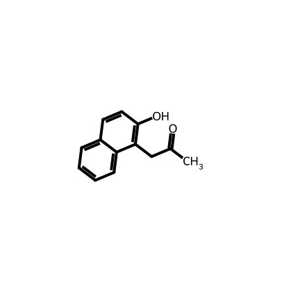 CC(=O)Cc1c(O)ccc2ccccc12